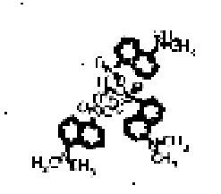 CN(C)c1cccc2c(S(=O)(=O)OP(=O)(OS(=O)(=O)c3cccc4c(N(C)C)cccc34)OS(=O)(=O)c3cccc4c(N(C)C)cccc34)cccc12